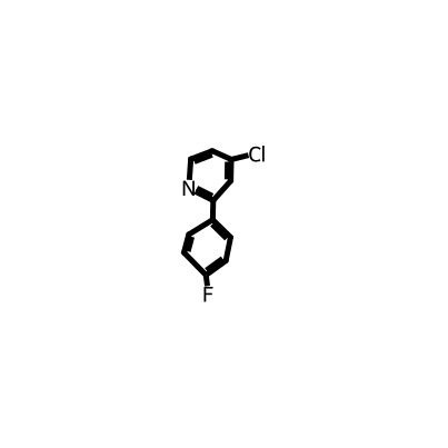 Fc1ccc(-c2cc(Cl)ccn2)cc1